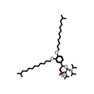 CC(C)CCCCCCCCCCOc1ccc(C(CC#N)OP(N(C(C)C)C(C)C)N(C(C)C)C(C)C)cc1OCCCCCCCCCCC(C)C